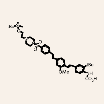 COc1cc(C=Cc2ccc(S(=O)(=O)N3CCN(CCO[Si](C)(C)C(C)(C)C)CC3)cc2)ccc1C=Cc1ccc(NC(=O)O)c(C(C)(C)C)c1